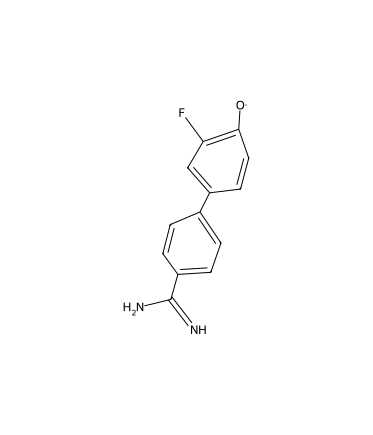 N=C(N)c1ccc(-c2ccc([O])c(F)c2)cc1